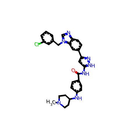 CN1CCC(Nc2ccc(C(=O)Nc3cc(-c4ccc5ncn(Cc6cccc(Cl)c6)c5c4)n[nH]3)cc2)CC1